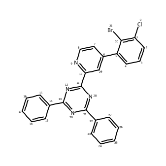 Clc1cccc(-c2ccnc(-c3nc(-c4ccccc4)nc(-c4ccccc4)n3)c2)c1Br